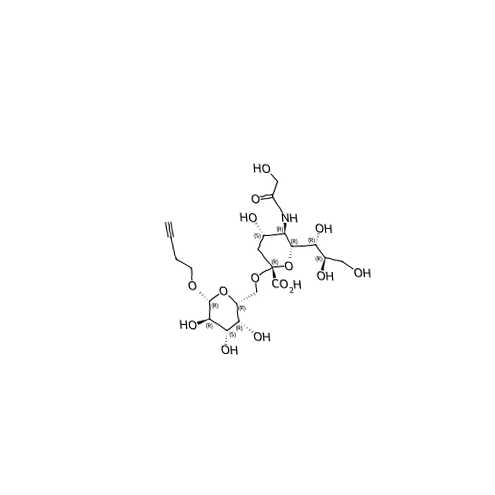 C#CCCO[C@@H]1O[C@H](CO[C@]2(C(=O)O)C[C@H](O)[C@@H](NC(=O)CO)[C@H]([C@H](O)[C@H](O)CO)O2)[C@H](O)[C@H](O)[C@H]1O